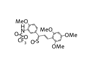 COc1cc(OC)c(C=CC(=S=O)c2ccc(OC)c(NS(=O)(=O)C(F)(F)F)c2)c(OC)c1